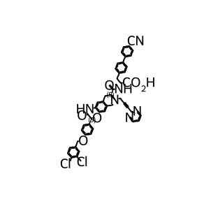 N#Cc1ccc(-c2ccc(CC(NC(=O)[C@@H]3Cc4cc5c(cc4CN3CC#Cc3ncccn3)O[C@@H](c3ccc(OCc4ccc(Cl)c(Cl)c4)cc3)C(=O)N5)C(=O)O)cc2)cc1